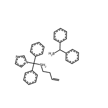 BC(c1ccccc1)c1ccccc1.C=CCC[SiH2]C(c1ccccc1)(c1ccccc1)n1ccnc1